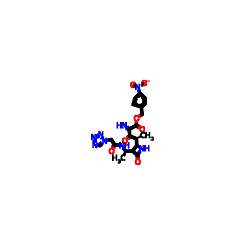 C[C@@H](NC(=O)Cn1cnnn1)C1C(=O)NC1[C@@H](C)C(=O)C(=N)C(=O)OCc1ccc([N+](=O)[O-])cc1